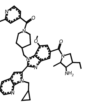 CCC1CN(C(=O)c2cc(OC)c3c(c2)nc(-c2cc4cccnc4n2CC2CC2)n3CC2CCN(C(=O)c3ccnc(Cl)c3)CC2)C(C)C1N